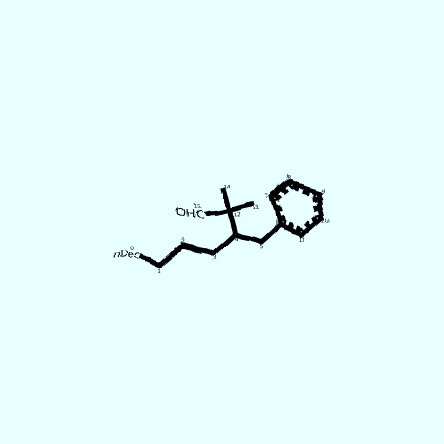 CCCCCCCCCCCCCC(Cc1ccccc1)C(C)(C)C=O